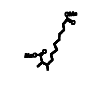 COC(=O)CCCCCCCCC(C)C(C)C(=O)OC